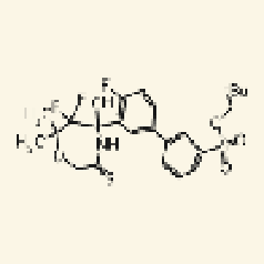 CC(C)(C)COS(=O)(=O)c1cccc(-c2ccc(F)c(C3(C)NC(=S)COC(C)(C)C3(F)F)c2)c1